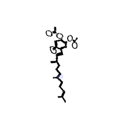 CC(=O)Oc1cc2cc(C(C)CC/C=C(\C)CCC=C(C)C)oc2cc1OC(C)=O